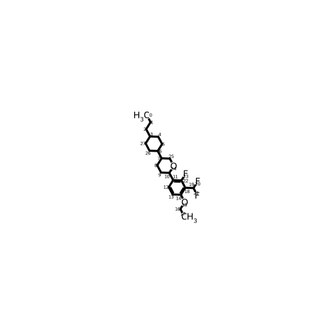 CCCC1CCC(C2CCC(c3ccc(OCC)c(C(F)F)c3F)OC2)CC1